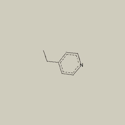 CCc1[c]cncc1